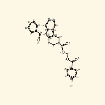 O=C(OCOC(=O)C1CCc2c(c3ccccc3n2C(=O)c2ccccc2)C1)c1ccc(F)cc1